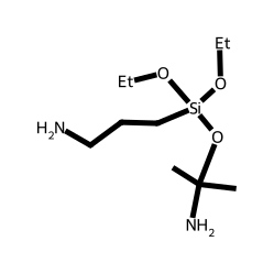 CCO[Si](CCCN)(OCC)OC(C)(C)N